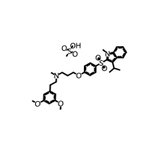 COc1cc(CCN(C)CCCOc2ccc(S(=O)(=O)c3c(C(C)C)c4ccccc4n3C)cc2)cc(OC)c1.CS(=O)(=O)O